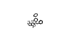 CSc1ccnc(SC)c1NC(=O)N(Cc1ccccc1)[C@H]1CC[C@@H](C2CCCCC2)CC1